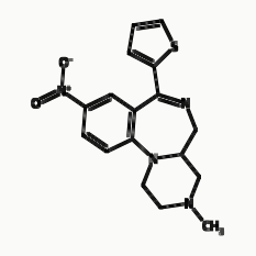 CN1CCN2c3ccc([N+](=O)[O-])cc3C(c3cccs3)=NCC2C1